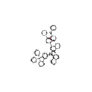 c1ccc(N(c2ccccc2)c2ccccc2-c2ccc(-c3cc4c(c5ccccc35)c3ccc5ccccc5c3n4-c3ccc4c(c3)-c3ccccc3C4(c3ccccc3)c3ccccc3)cc2)cc1